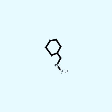 O=S(=O)(O)NCC1CCCCC1